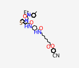 CCN(C(=O)Cn1c(C(=O)N[C@H]2CC[C@H](C(=O)NCCCCCCCC(=O)Oc3ccc(C#N)cc3)CC2)cc2sccc21)c1cccc(C)c1